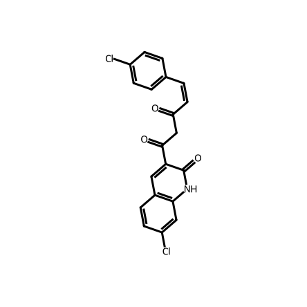 O=C(/C=C\c1ccc(Cl)cc1)CC(=O)c1cc2ccc(Cl)cc2[nH]c1=O